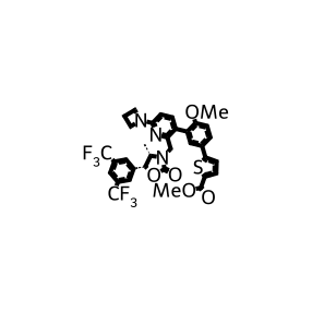 COC(=O)c1ccc(-c2ccc(OC)c(-c3ccc(N4CCC4)nc3CN3C(=O)O[C@H](c4cc(C(F)(F)F)cc(C(F)(F)F)c4)[C@@H]3C)c2)s1